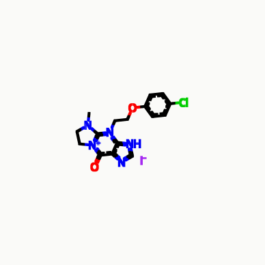 CN1CC[n+]2c1n(CCOc1ccc(Cl)cc1)c1[nH]cnc1c2=O.[I-]